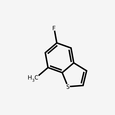 Cc1cc(F)cc2ccsc12